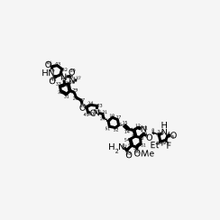 CC[C@@H]1[C@H](F)C(=O)N[C@@H]1COc1ncc(C#C[C@H]2CC[C@H](CCN3CCC(OCCCc4cccc5c4n(C)c(=O)n5C4CCC(=O)NC4=O)CC3)CC2)c2cc(C(N)=O)c(OC)cc12